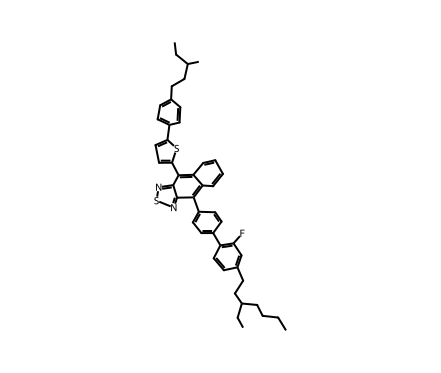 CCCCC(CC)CCc1ccc(-c2ccc(-c3c4ccccc4c(-c4ccc(-c5ccc(CCC(C)CC)cc5)s4)c4nsnc34)cc2)c(F)c1